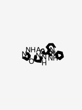 CC(=O)Nc1cc(Oc2ccc(NC(=O)c3c4n(n(-c5ccccc5)c3=N)CCCC4)nc2)ccn1